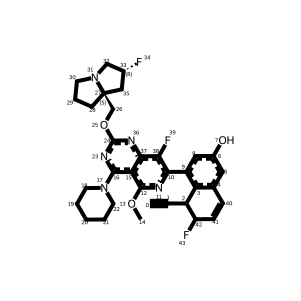 C#CC1c2c(cc(O)cc2-c2nc(OC)c3c(N4CCCCC4)nc(OC[C@@]45CCCN4C[C@H](F)C5)nc3c2F)C=CC1F